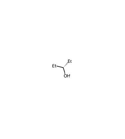 [CH2]C[C@H](O)CC